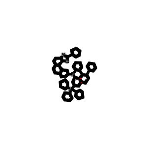 c1ccc(-c2nc3ccc4ccc5ccc(N(c6cccc([Si](c7ccccc7)(c7ccccc7)c7ccccc7)c6)c6ccccc6-c6ccccc6-c6ccccc6)cc5c4c3o2)cc1